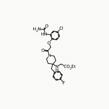 CCOC(=O)CNC1(Cc2ccc(F)cc2)CCN(C(=O)COc2ccc(Cl)cc2NC(N)=O)CC1